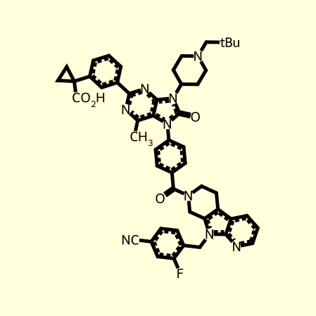 Cc1nc(-c2cccc(C3(C(=O)O)CC3)c2)nc2c1n(-c1ccc(C(=O)N3CCc4c(n(Cc5ccc(C#N)cc5F)c5ncccc45)C3)cc1)c(=O)n2C1CCN(CC(C)(C)C)CC1